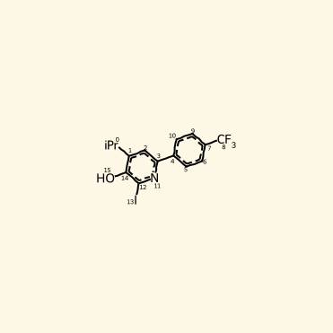 CC(C)c1cc(-c2ccc(C(F)(F)F)cc2)nc(I)c1O